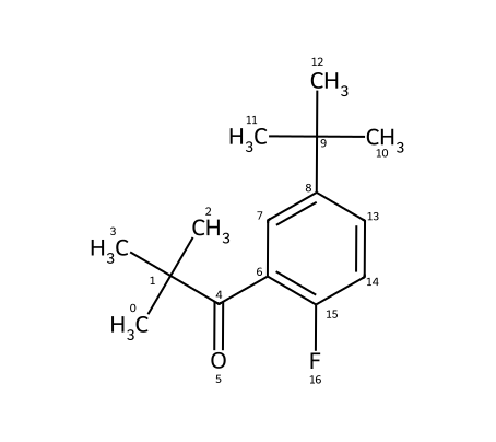 CC(C)(C)C(=O)c1cc(C(C)(C)C)ccc1F